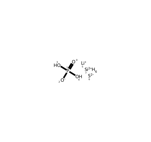 O=P([O-])(O)O.[Li+].[S-2].[SiH6+2]